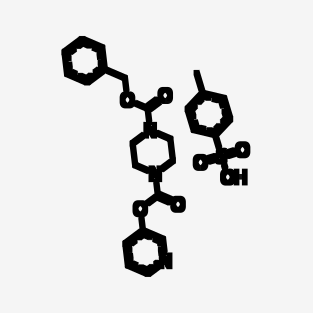 Cc1ccc(S(=O)(=O)O)cc1.O=C(OCc1ccccc1)N1CCN(C(=O)Oc2cccnc2)CC1